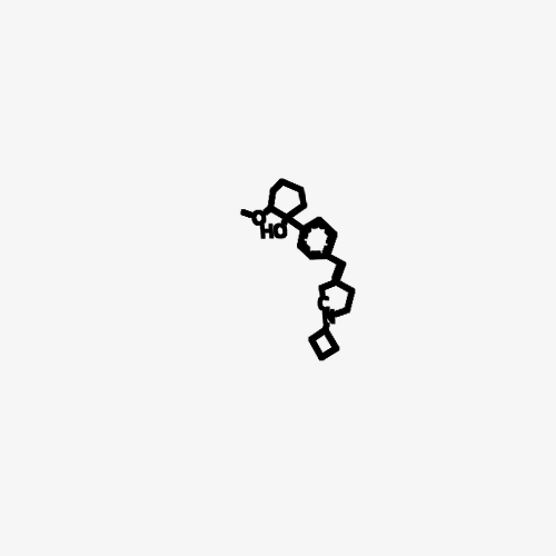 COC1CCCCC1(O)c1ccc(C=C2CCN(C3CCC3)CC2)cc1